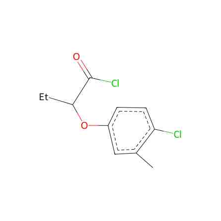 CCC(Oc1ccc(Cl)c(C)c1)C(=O)Cl